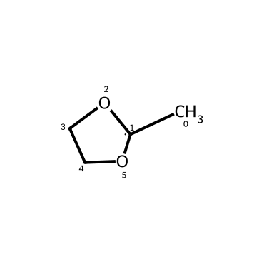 C[C]1OCCO1